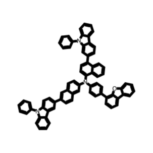 c1ccc(-n2c3ccccc3c3cc(-c4ccc5cc(N(c6ccc(-c7cccc8c7oc7ccccc78)cc6)c6ccc(-c7ccc8c9ccccc9n(-c9ccccc9)c8c7)c7ccccc67)ccc5c4)ccc32)cc1